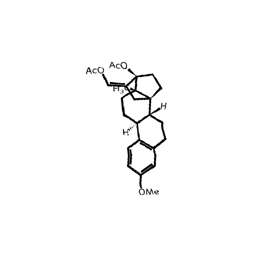 COc1ccc2c(c1)CC[C@@H]1[C@@H]2CC[C@@]2(C)[C@]13CC[C@@]2(OC(C)=O)C(=COC(C)=O)C3